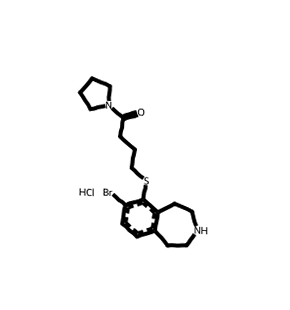 Cl.O=C(CCCSc1c(Br)ccc2c1CCNCC2)N1CCCC1